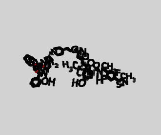 Cc1ncsc1-c1cc(F)c([C@H](C)NC(=O)[C@@H]2C[C@@H](O)CN2C(=O)[C@@H](c2cc(OCCC3CCN(C[C@H]4C[C@H](Oc5cc(N6C7CCC6CN(c6cc(-c8ccccc8O)nnc6N)C7)ccn5)C4)CC3)no2)C(C)C)cc1F